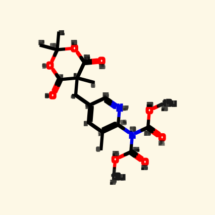 Cc1cc(CC2(C)C(=O)OC(C)(C)OC2=O)cnc1N(C(=O)OC(C)(C)C)C(=O)OC(C)(C)C